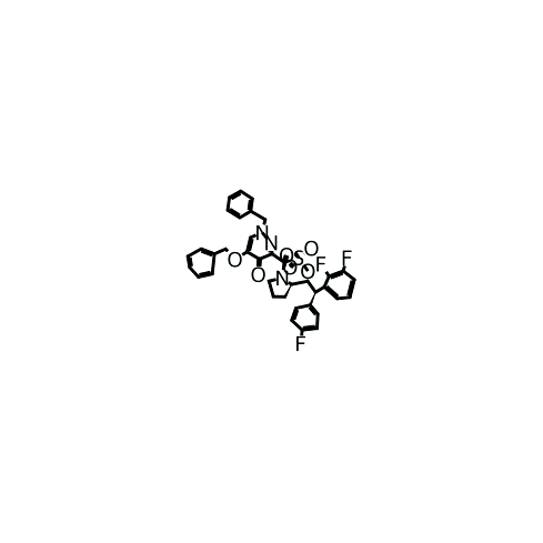 CS(=O)(=O)O[C@H]([C@H](c1ccc(F)cc1)c1cccc(F)c1F)[C@H]1CCCN1C(=O)c1nn(Cc2ccccc2)cc(OCc2ccccc2)c1=O